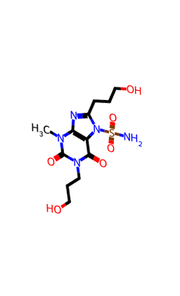 Cn1c(=O)n(CCCO)c(=O)c2c1nc(CCCO)n2S(N)(=O)=O